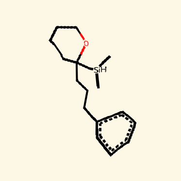 C[SiH](C)C1(CCCc2ccccc2)CCCCO1